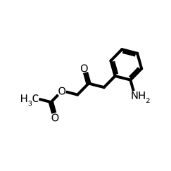 CC(=O)OCC(=O)Cc1ccccc1N